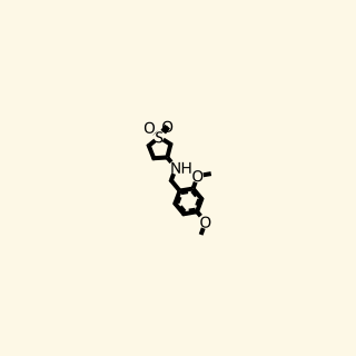 COc1ccc(CNC2CCS(=O)(=O)C2)c(OC)c1